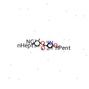 CCCCCCCC1(C#N)CCC(OC(=O)c2ccc(OCCCCC)nc2)CC1